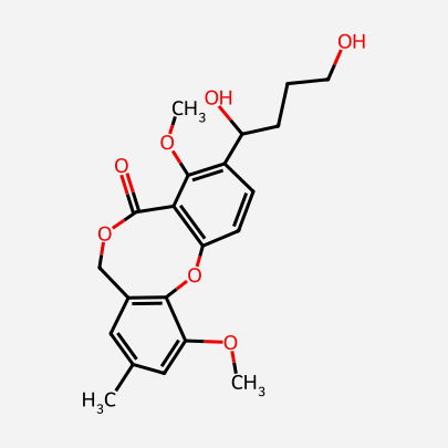 COc1cc(C)cc2c1Oc1ccc(C(O)CCCO)c(OC)c1C(=O)OC2